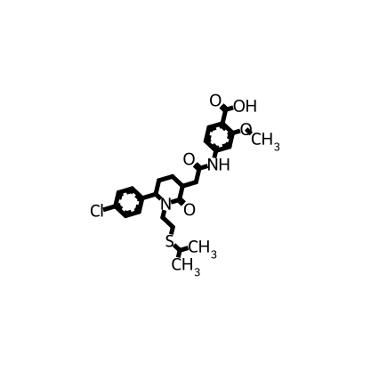 COc1cc(NC(=O)CC2CCC(c3ccc(Cl)cc3)N(CCSC(C)C)C2=O)ccc1C(=O)O